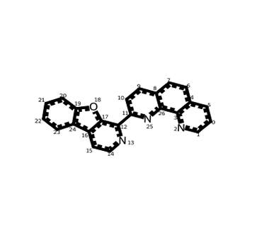 c1cnc2c(c1)ccc1ccc(-c3nccc4c3oc3ccccc34)nc12